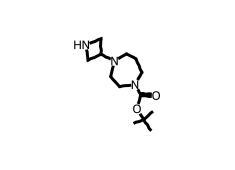 CC(C)(C)OC(=O)N1CCCN(C2CNC2)CC1